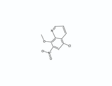 COc1c([N+](=O)[O-])[c]c(Cl)c2cccnc12